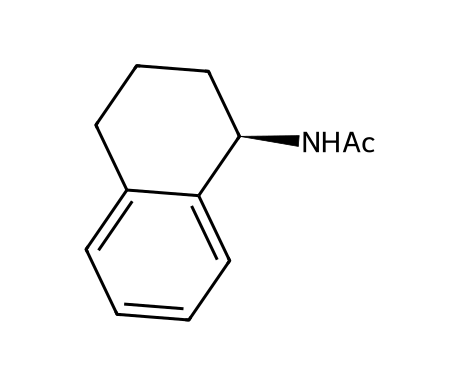 CC(=O)N[C@@H]1CCCc2ccccc21